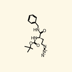 CC(C)(C)OC(=O)N[C@H](CCN=[N+]=[N-])C(=O)NCc1ccccc1